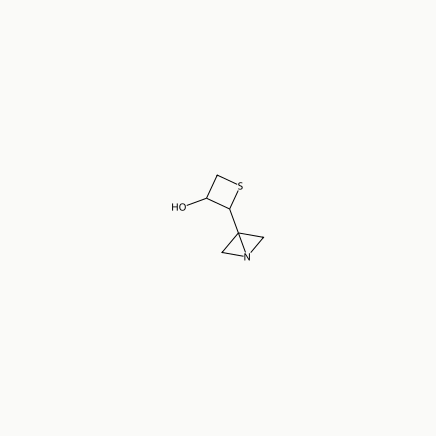 OC1CSC1C12CN1C2